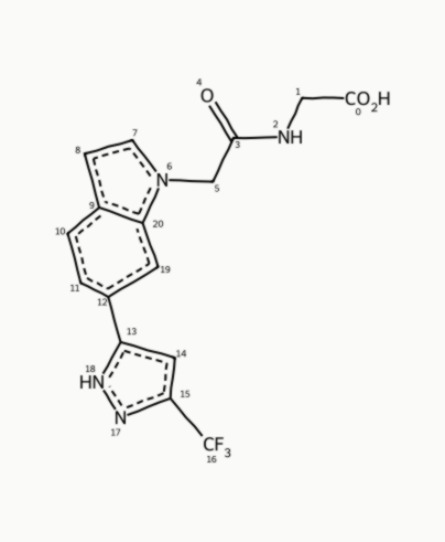 O=C(O)CNC(=O)Cn1ccc2ccc(-c3cc(C(F)(F)F)n[nH]3)cc21